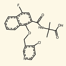 CC(C)(NC(=O)c1cc(F)c2ccccc2c1OCc1cnccc1Cl)C(=O)O